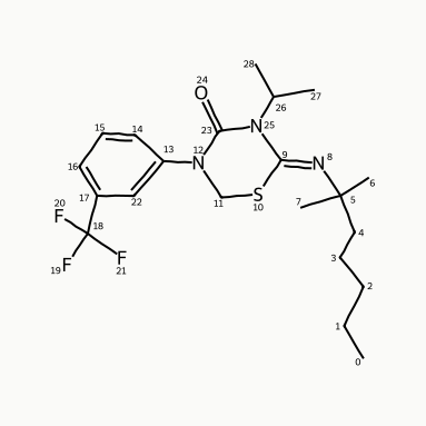 CCCCCC(C)(C)N=C1SCN(c2cccc(C(F)(F)F)c2)C(=O)N1C(C)C